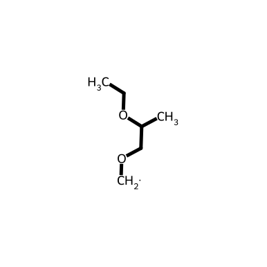 [CH2]OCC(C)OCC